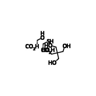 O=C(O)CO.O=C(O)CS.OCC(CO)(CO)CO